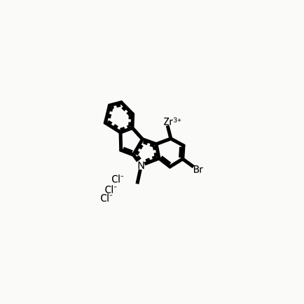 Cn1c2c(c3c1=CC(Br)=C[CH]3[Zr+3])-c1ccccc1C=2.[Cl-].[Cl-].[Cl-]